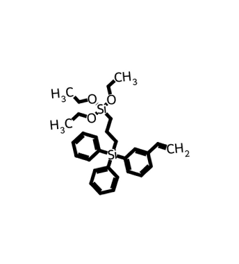 C=Cc1cccc([Si](CCC[Si](OCC)(OCC)OCC)(c2ccccc2)c2ccccc2)c1